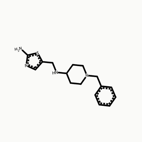 Nc1ncc(CNC2CCN(Cc3ccccc3)CC2)s1